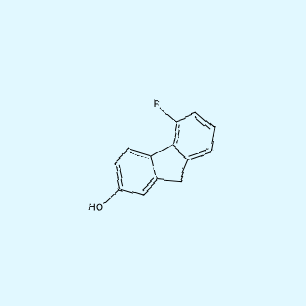 Oc1ccc2c(c1)Cc1cccc(F)c1-2